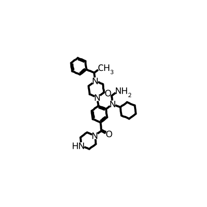 CC(c1ccccc1)N1CCN(c2ccc(C(=O)N3CCNCC3)cc2N(C(N)=O)C2CCCCC2)CC1